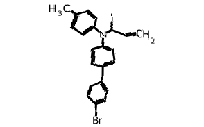 C=CC(I)N(c1ccc(C)cc1)c1ccc(-c2ccc(Br)cc2)cc1